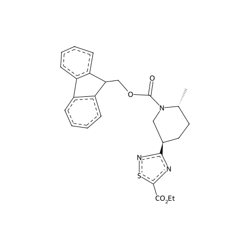 CCOC(=O)c1nc([C@@H]2CC[C@@H](C)N(C(=O)OCC3c4ccccc4-c4ccccc43)C2)ns1